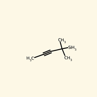 CC#CC(C)(C)[SiH3]